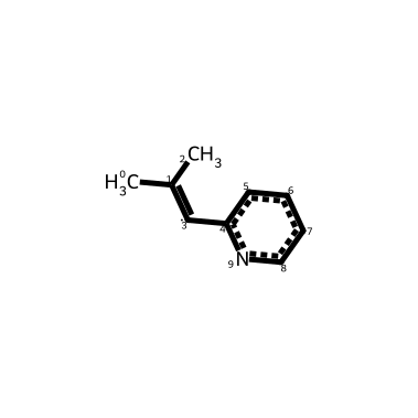 CC(C)=[C]c1ccccn1